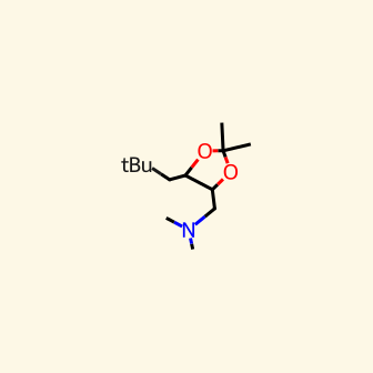 CN(C)CC1OC(C)(C)OC1CC(C)(C)C